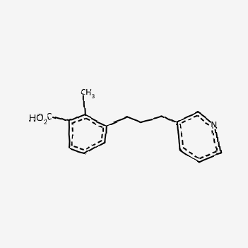 Cc1c(CCCc2cccnc2)cccc1C(=O)O